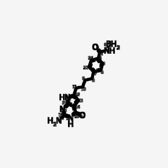 BNC(=O)c1ccc(CCCCc2cc3c(=O)[nH]c(N)nc3[nH]2)cc1